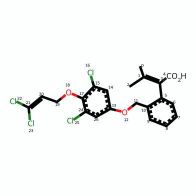 CC(C)=C(C(=O)O)c1ccccc1COc1cc(Cl)c(OCC=C(Cl)Cl)c(Cl)c1